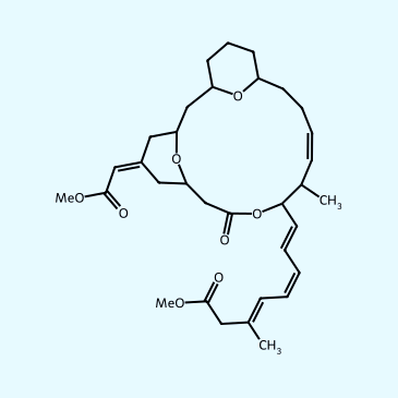 COC(=O)/C=C1\CC2CC(=O)OC(/C=C/C=C\C=C(/C)CC(=O)OC)C(C)/C=C\CCC3CCCC(CC(C1)O2)O3